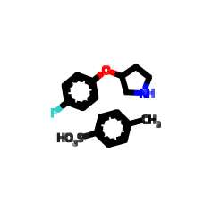 Cc1ccc(S(=O)(=O)O)cc1.Fc1ccc(OC2CCNC2)cc1